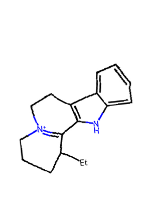 CCC1CCC[N+]2=C1c1[nH]c3ccccc3c1CC2